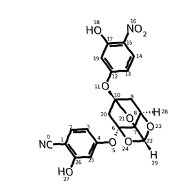 N#Cc1ccc(O[C@@]23C[C@H]4C[C@@](Oc5ccc([N+](=O)[O-])c(O)c5)(C2)O[C@H](O4)O3)cc1O